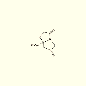 C=C1CN2C(=C)CCC2(C(=O)OCC)C1